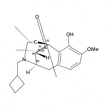 COc1ccc2c(c1O)[C@]13CCN(CC4CCC4)[C@H](C2)[C@@H]1[C@@H](C)[C@H](C)C(=O)C3